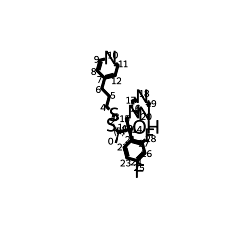 C[C@@H](SSCCCc1ccncc1)[C@](O)(Cn1cncn1)c1ccc(F)cc1F